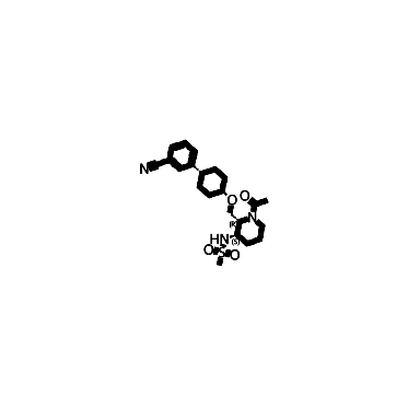 CC(=O)N1CCC[C@H](NS(C)(=O)=O)[C@@H]1CO[C@H]1CC[C@@H](c2cccc(C#N)c2)CC1